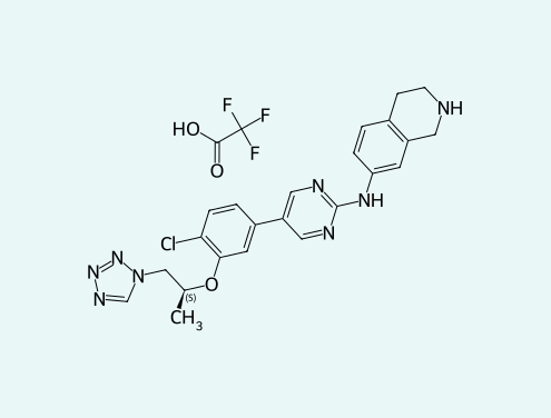 C[C@@H](Cn1cnnn1)Oc1cc(-c2cnc(Nc3ccc4c(c3)CNCC4)nc2)ccc1Cl.O=C(O)C(F)(F)F